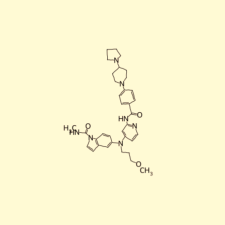 CNC(=O)n1ccc2cc(N(CCCOC)c3ccnc(NC(=O)c4ccc(N5CCC(N6CCCC6)CC5)cc4)c3)ccc21